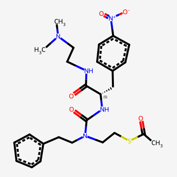 CC(=O)SCCN(CCc1ccccc1)C(=O)N[C@@H](Cc1ccc([N+](=O)[O-])cc1)C(=O)NCCN(C)C